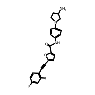 NC1CCN(c2ccc(NC(=O)c3ccc(C#Cc4ccc(F)cc4F)o3)cc2)C1